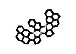 c1cc2c3c(c1)-c1ccc4ccc5cccc6cc(c1c4c56)N3c1cc3ccccc3c3c1B2c1cccc2c1N3c1cc3cccc4ccc5ccc-2c1c5c43